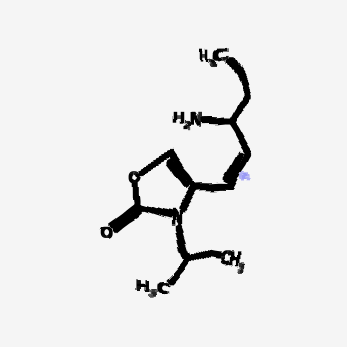 CCC(N)/C=C\c1coc(=O)n1C(C)C